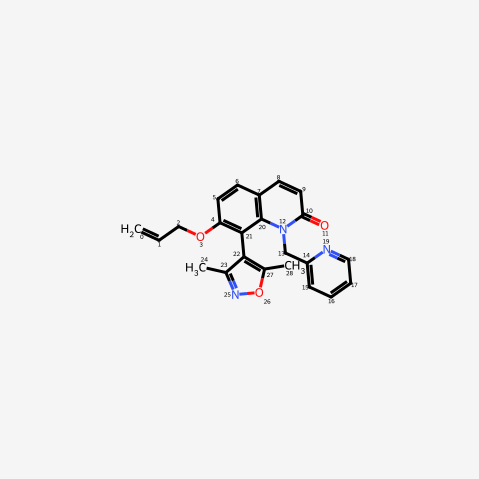 C=CCOc1ccc2ccc(=O)n(Cc3ccccn3)c2c1-c1c(C)noc1C